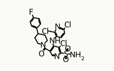 NS(=O)(=O)c1ncc(C(=O)N2CCC(c3ccc(F)cc3)CC2)c(Nc2ccc(Cl)nc2Cl)c1Cl